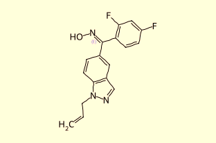 C=CCn1ncc2cc(/C(=N\O)c3ccc(F)cc3F)ccc21